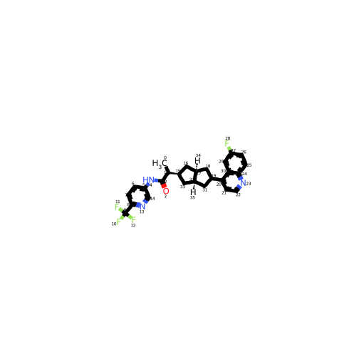 CC(C(=O)Nc1ccc(C(F)(F)F)nc1)[C@H]1C[C@H]2CC(c3ccnc4ccc(F)cc34)C[C@H]2C1